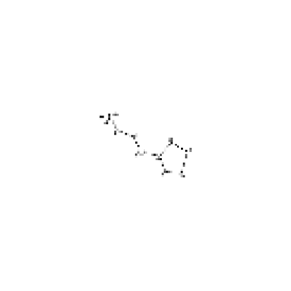 FC(F)(F)CCOC1CCCC1